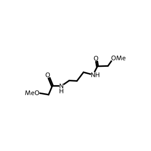 COCC(=O)NCCCNC(=O)COC